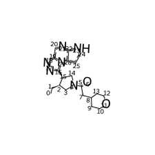 CC[C@@H]1CN(C(=O)CC2CCOCC2)C[C@@H]1c1nnc2cnc3[nH]ccc3n12